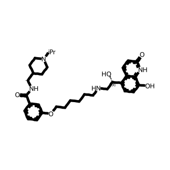 CC(C)N1CCC([CH]NC(=O)c2cccc(OCCCCCCNC[C@H](O)c3ccc(O)c4[nH]c(=O)ccc34)c2)CC1